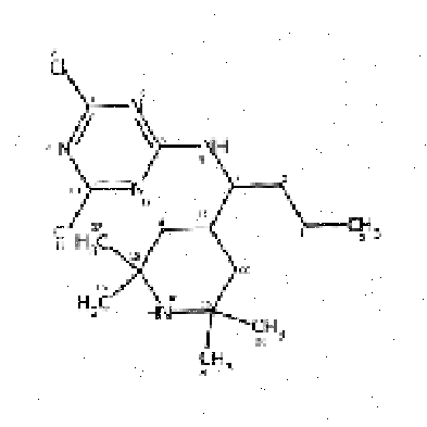 CCCC(Nc1nc(Cl)nc(Cl)n1)C1CC(C)(C)NC(C)(C)C1